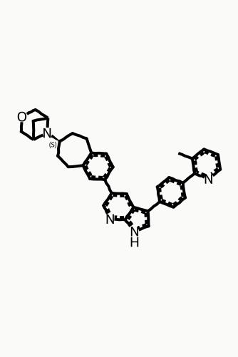 Cc1cccnc1-c1ccc(-c2c[nH]c3ncc(-c4ccc5c(c4)CC[C@@H](N4C6COCC4C6)CC5)cc23)cc1